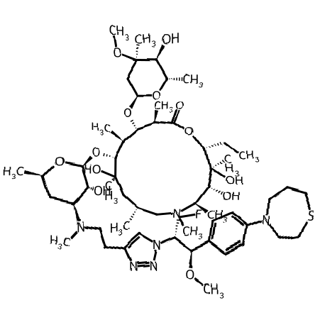 CC[C@H]1OC(=O)[C@H](C)[C@@H](O[C@H]2C[C@@](C)(OC)[C@@H](O)[C@H](C)O2)[C@H](C)[C@@H](O[C@@H]2O[C@H](C)C[C@H](N(C)CCc3cn([C@H](CF)[C@H](OC)c4ccc(N5CCCSCC5)cc4)nn3)[C@H]2O)[C@](C)(O)C[C@@H](C)CN(C)[C@H](C)[C@@H](O)[C@]1(C)O